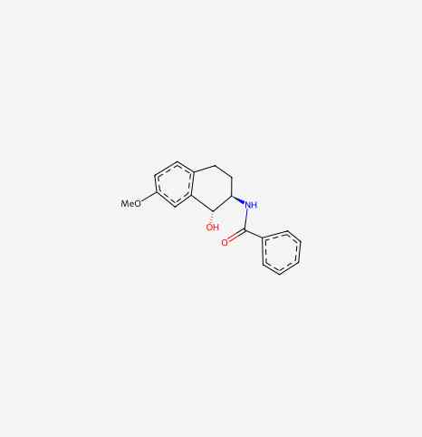 COc1ccc2c(c1)[C@@H](O)[C@H](NC(=O)c1ccccc1)CC2